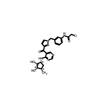 [CH2][C@@H]1C[C@@H](Nc2ncncc2C(=O)c2ccn(Cc3cccc(NC(=O)CCl)c3)n2)[C@H](O)[C@@H]1O